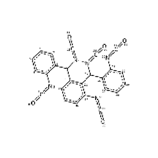 O=C=Nc1ccccc1C(N=C=O)c1cccc(N=C=O)c1C(N=C=O)c1ccccc1N=C=O